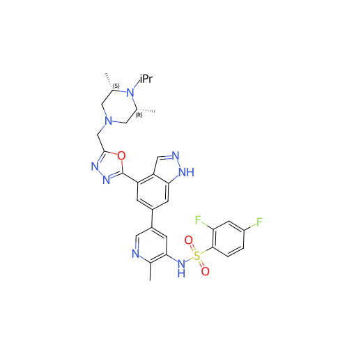 Cc1ncc(-c2cc(-c3nnc(CN4C[C@@H](C)N(C(C)C)[C@@H](C)C4)o3)c3cn[nH]c3c2)cc1NS(=O)(=O)c1ccc(F)cc1F